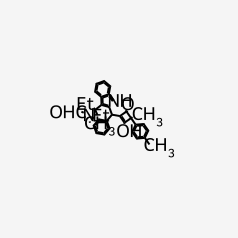 CCC(CC)(c1c(C(C2=C(O)C(C)(c3ccc(C)cc3)C2=O)c2ccccc2)[nH]c2ccccc12)N(C)C=O